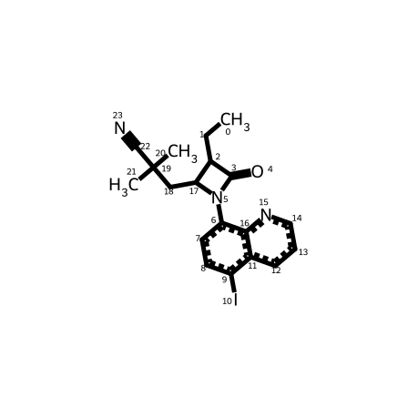 CCC1C(=O)N(c2ccc(I)c3cccnc23)C1CC(C)(C)C#N